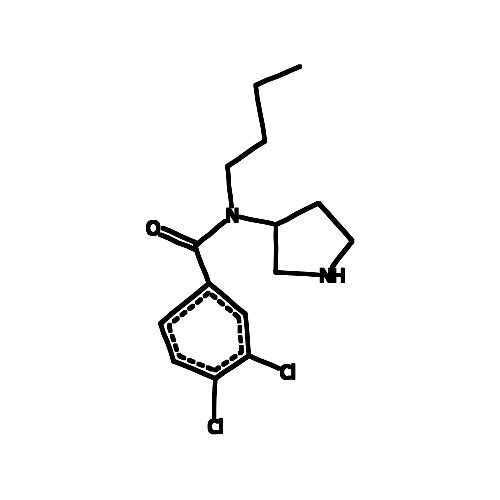 CCCCN(C(=O)c1ccc(Cl)c(Cl)c1)C1CCNC1